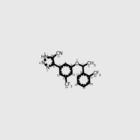 CC(Oc1cc(-c2nn[nH]c2C#N)cc(C(F)(F)F)c1)c1ccccc1C(F)(F)F